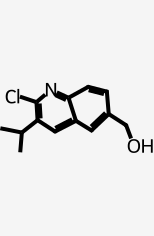 CC(C)c1cc2cc(CO)ccc2nc1Cl